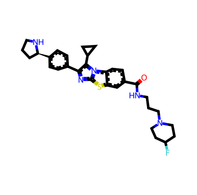 O=C(NCCCN1CCC(F)CC1)c1ccc2c(c1)sc1nc(-c3ccc([C@H]4CCCN4)cc3)c(C3CC3)n12